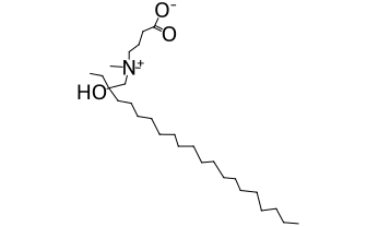 CCCCCCCCCCCCCCCCCCC(O)(CC)C[N+](C)(C)CCCC(=O)[O-]